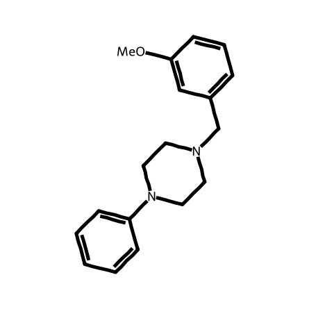 COc1cccc(CN2CCN(c3ccccc3)CC2)c1